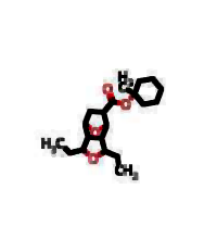 CCC1OC(CC)C2C3OC(CC3C(=O)OC3(C)CCCCC3)C12